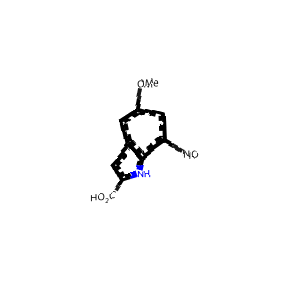 COc1cc(N=O)c2[nH]c(C(=O)O)cc2c1